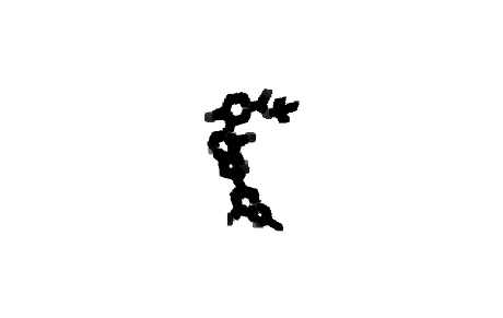 Cc1cn2cc(-c3cc4ncn(C5CN(C(=O)OC(C)(C)C)CCC5=O)c(=O)c4s3)cc(F)c2n1